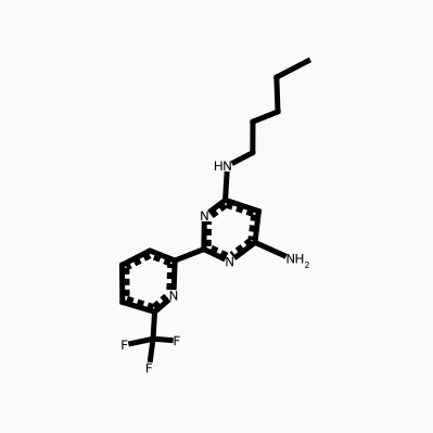 CCCCCNc1cc(N)nc(-c2cccc(C(F)(F)F)n2)n1